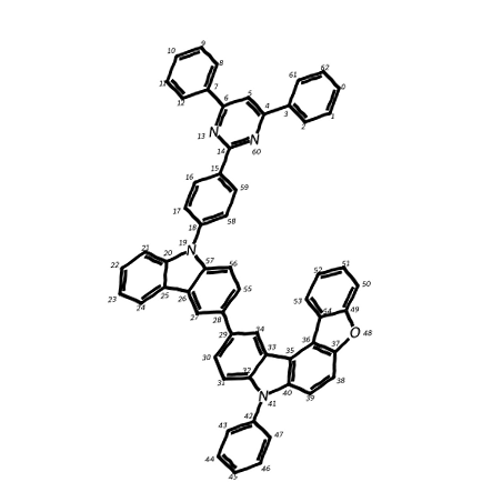 c1ccc(-c2cc(-c3ccccc3)nc(-c3ccc(-n4c5ccccc5c5cc(-c6ccc7c(c6)c6c8c(ccc6n7-c6ccccc6)oc6ccccc68)ccc54)cc3)n2)cc1